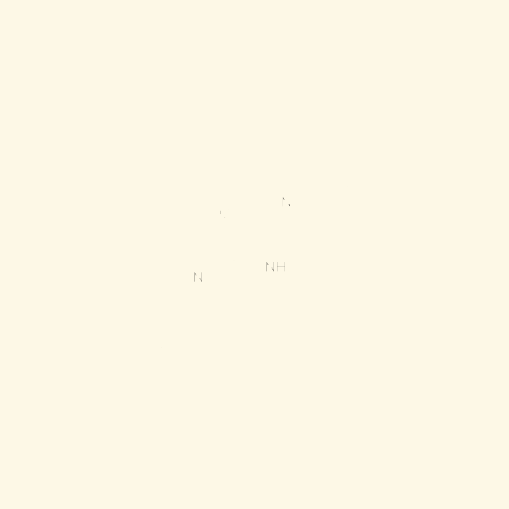 Cc1ccc(NC(=O)N2CCCCCC2)nc1